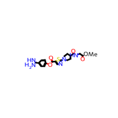 COC(=O)CNC(=O)C1CCN(c2ncc(C(=O)Oc3ccc(C(=N)N)cc3)s2)CC1